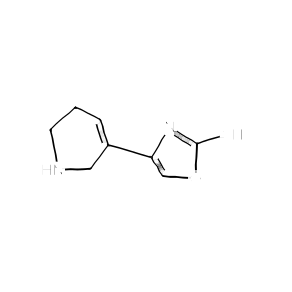 Cc1nc(C2=CCCNC2)co1